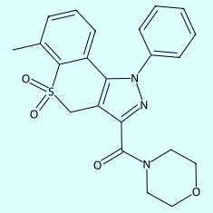 Cc1cccc2c1S(=O)(=O)Cc1c(C(=O)N3CCOCC3)nn(-c3ccccc3)c1-2